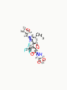 C[C@@H]1Cc2oc(C(=O)NC[C@@H]3COCO3)c(C(F)(F)F)c2-c2nn(CC3CCOC3)cc21